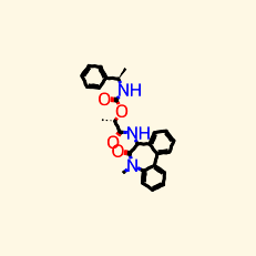 C[C@H](OC(=O)N[C@H](C)c1ccccc1)C(=O)NC1C(=O)N(C)c2ccccc2-c2ccccc21